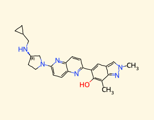 Cc1c(O)c(-c2ccc3nc(N4CC[C@@H](NCC5CC5)C4)ccc3n2)cc2cn(C)nc12